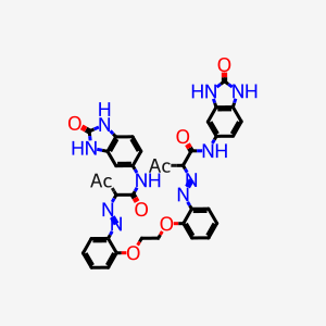 CC(=O)C(N=Nc1ccccc1OCCOc1ccccc1N=NC(C(C)=O)C(=O)Nc1ccc2[nH]c(=O)[nH]c2c1)C(=O)Nc1ccc2[nH]c(=O)[nH]c2c1